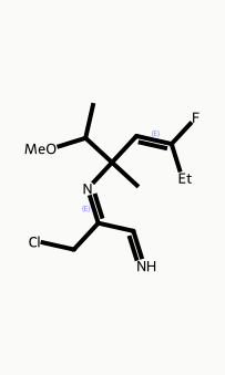 CC/C(F)=C\C(C)(/N=C(\C=N)CCl)C(C)OC